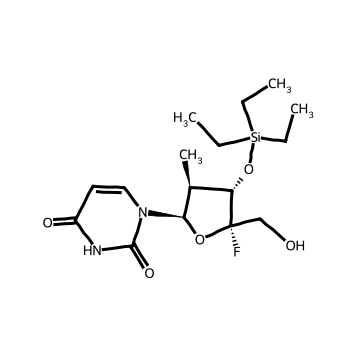 CC[Si](CC)(CC)O[C@H]1[C@H](C)[C@H](n2ccc(=O)[nH]c2=O)O[C@]1(F)CO